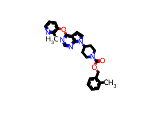 Cc1ccccc1COC(=O)N1CCC(n2ccc3c(Oc4cccnc4C)ncnc32)CC1